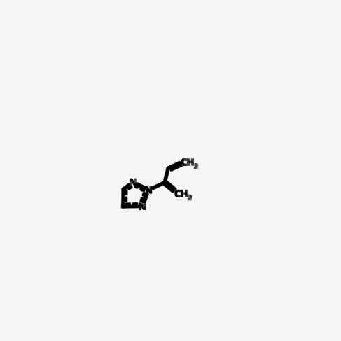 C=CC(=C)n1nccn1